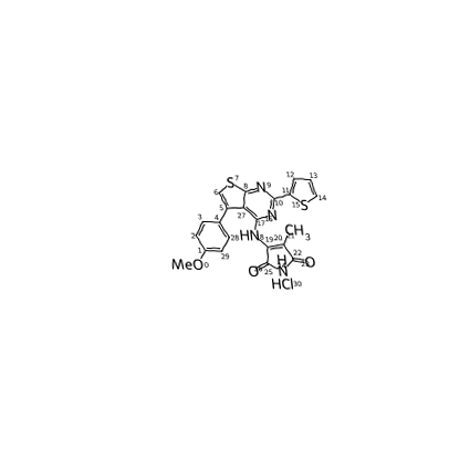 COc1ccc(-c2csc3nc(-c4cccs4)nc(NC4=C(C)C(=O)NC4=O)c23)cc1.Cl